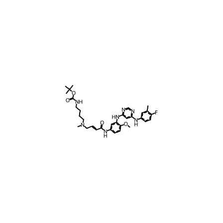 COc1ccc(NC(=O)/C=C/CN(C)CCCCNC(=O)OC(C)(C)C)cc1Nc1cc(Nc2ccc(F)c(C)c2)ncn1